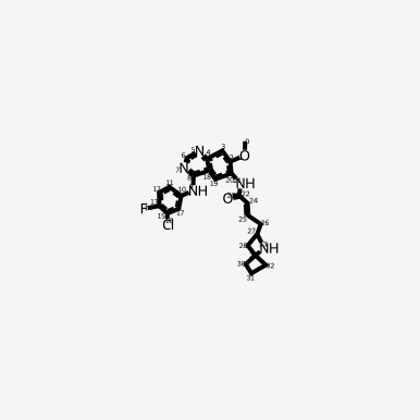 COc1cc2ncnc(Nc3ccc(F)c(Cl)c3)c2cc1NC(=O)/C=C/CC1CC2(CCC2)N1